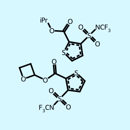 CC(C)OC(=O)c1sccc1S(=O)(=O)NC(F)(F)F.O=C(OC1CCO1)c1sccc1S(=O)(=O)NC(F)(F)F